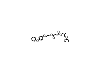 C=CC(=O)OCC(C)COC(=O)CCC(=O)OCCCOc1ccc(OC2CCCCO2)cc1